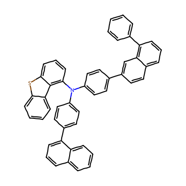 c1ccc(-c2cccc3ccc(-c4ccc(N(c5ccc(-c6cccc7ccccc67)cc5)c5cccc6sc7ccccc7c56)cc4)cc23)cc1